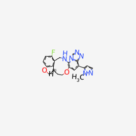 Cn1nccc1-c1cc2c(n3cnnc13)NCc1c(F)ccc3c1[C@@H](CCO2)CO3